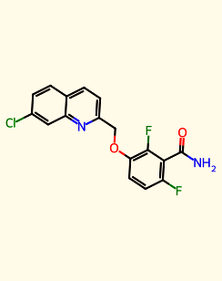 NC(=O)c1c(F)ccc(OCc2ccc3ccc(Cl)cc3n2)c1F